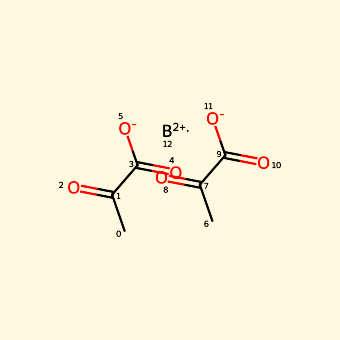 CC(=O)C(=O)[O-].CC(=O)C(=O)[O-].[B+2]